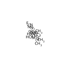 CCCCc1nc(O)c(NS(=O)(=O)C2CCCN(c3ncc(F)cn3)C2)c(=O)n1-c1c(OC)cccc1OC